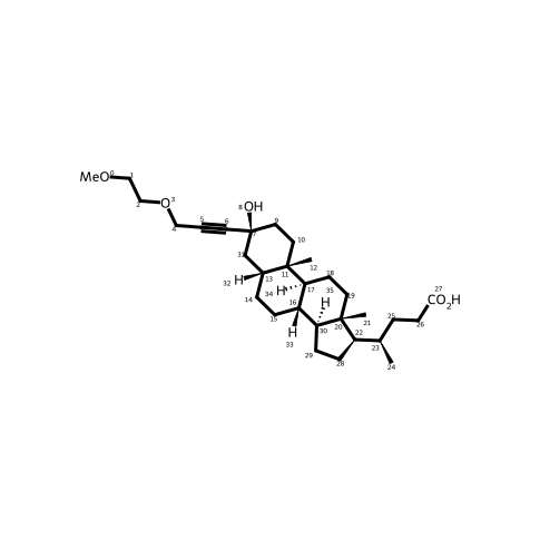 COCCOCC#C[C@]1(O)CC[C@@]2(C)[C@H](CC[C@@H]3[C@@H]2CC[C@]2(C)[C@@H]([C@H](C)CCC(=O)O)CC[C@@H]32)C1